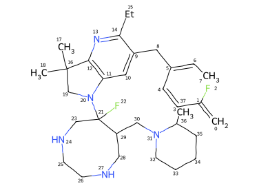 C=C(F)/C=C\C(=C/C)Cc1cc2c(nc1CC)C(C)(C)CN2C1(F)CNCCNCC1CN1CCCCC1C